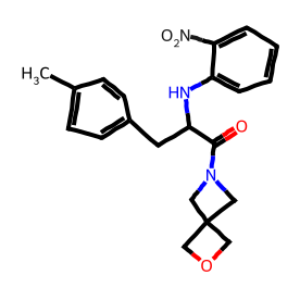 Cc1ccc(CC(Nc2ccccc2[N+](=O)[O-])C(=O)N2CC3(COC3)C2)cc1